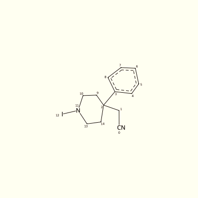 N#CCC1(c2ccccc2)CCN(I)CC1